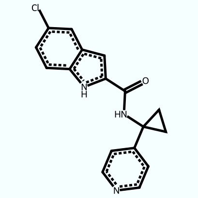 O=C(NC1(c2ccncc2)CC1)c1cc2cc(Cl)ccc2[nH]1